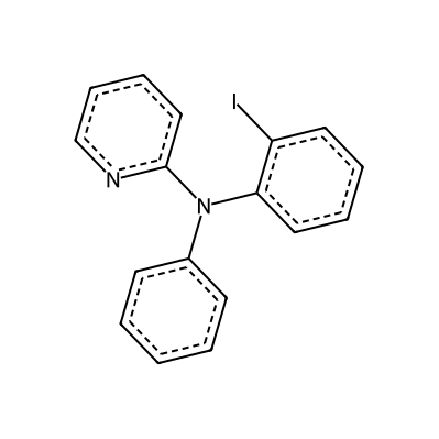 Ic1ccccc1N(c1ccccc1)c1ccccn1